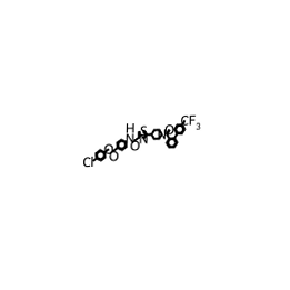 O=C(Oc1ccc(Cl)cc1)c1ccc(NC(=O)c2csc(C3CCN(C(=O)c4ccccc4-c4ccc(C(F)(F)F)cc4)CC3)n2)cc1